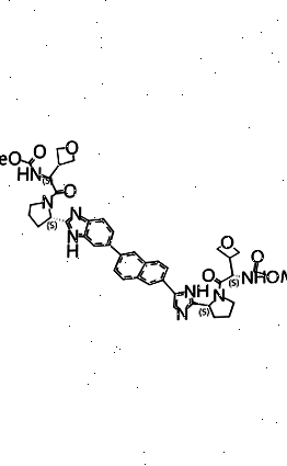 COC(=O)N[C@H](C(=O)N1CCC[C@H]1c1ncc(-c2ccc3cc(-c4ccc5nc([C@@H]6CCCN6C(=O)[C@@H](NC(=O)OC)C6COC6)[nH]c5c4)ccc3c2)[nH]1)C1COC1